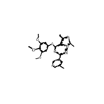 COc1cc(Oc2nc(-c3cncc(C)c3)nn3c(C)nc(C)c23)cc(OC)c1OC